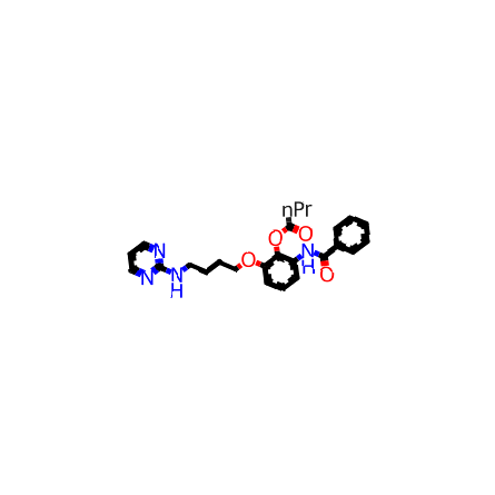 CCCC(=O)Oc1c(NC(=O)c2ccccc2)cccc1OCCCCNc1ncccn1